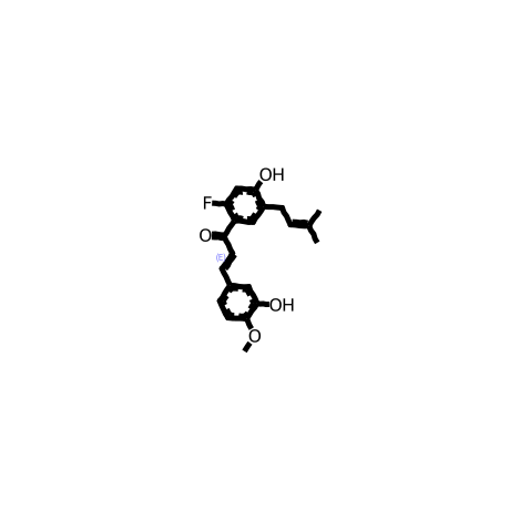 COc1ccc(/C=C/C(=O)c2cc(CC=C(C)C)c(O)cc2F)cc1O